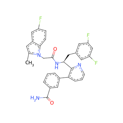 Cc1cc2cc(F)ccc2n1CC(=O)N[C@@H](Cc1cc(F)cc(F)c1)c1ncccc1-c1cccc(C(N)=O)c1